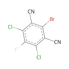 N#Cc1c(Cl)c(F)c(Cl)c(C#N)c1Br